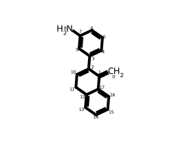 C=C1C(c2cccc(N)c2)=CCc2ccccc21